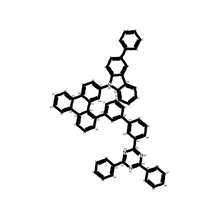 c1ccc(-c2ccc3c(c2)c2ccccc2n3-c2ccc3c4ccccc4c4cccc(-c5cccc(-c6cccc(-c7nc(-c8ccccc8)nc(-c8ccccc8)n7)c6)c5)c4c3c2)cc1